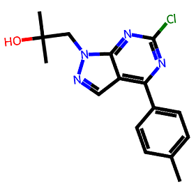 Cc1ccc(-c2nc(Cl)nc3c2cnn3CC(C)(C)O)cc1